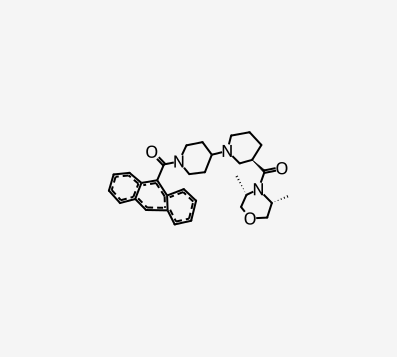 C[C@@H]1COC[C@H](C)N1C(=O)[C@@H]1CCCN(C2CCN(C(=O)c3c4ccccc4cc4ccccc34)CC2)C1